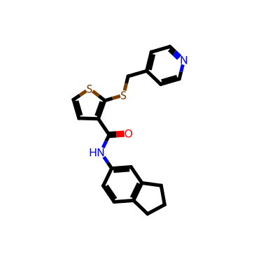 O=C(Nc1ccc2c(c1)CCC2)c1ccsc1SCc1ccncc1